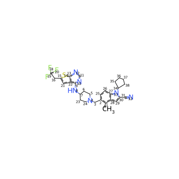 Cc1c(CN2CCC(Nc3ncnc4sc(CC(F)(F)F)cc34)CC2)ccc2c1cc(C#N)n2C1CCCC1